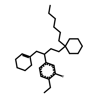 CCCCCCC1(CCC(CC2=CCCCC2)c2ccc(CC)c(F)c2)CCCCC1